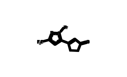 CC(C)n1nc(C(F)(F)F)cc1C1=CC(=O)CC1